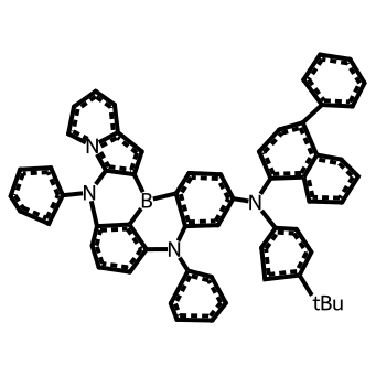 CC(C)(C)c1ccc(N(c2ccc3c(c2)N(c2ccccc2)c2cccc4c2B3c2cc3ccccn3c2N4c2ccccc2)c2ccc(-c3ccccc3)c3ccccc23)cc1